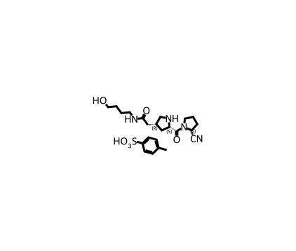 Cc1ccc(S(=O)(=O)O)cc1.N#C[C@@H]1CCCN1C(=O)[C@@H]1C[C@H](CC(=O)NCCCCO)CN1